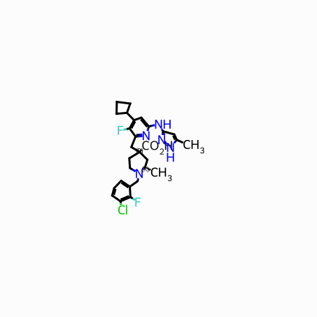 Cc1cc(Nc2cc(C3CCC3)c(F)c(C[C@@]3(C(=O)O)CCN(Cc4cccc(Cl)c4F)[C@H](C)C3)n2)n[nH]1